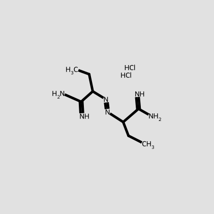 CCC(/N=N/C(CC)C(=N)N)C(=N)N.Cl.Cl